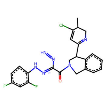 CC1CN=C(C2CN(C(=O)/C(N=N)=N/Nc3ccc(F)cc3F)Cc3ccccc32)C=C1Cl